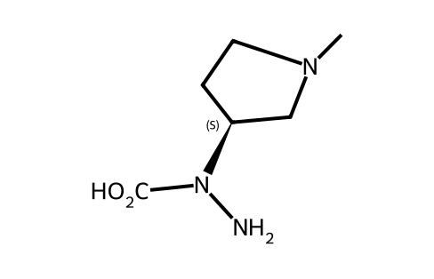 CN1CC[C@H](N(N)C(=O)O)C1